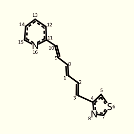 C(=CC=Cc1cscn1)C=Cc1ccccn1